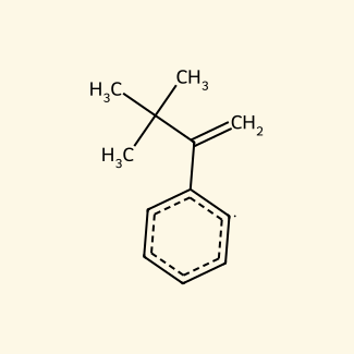 C=C(c1[c]cccc1)C(C)(C)C